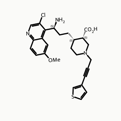 COc1ccc2ncc(Cl)c([C@@H](N)CC[C@H]3CCN(CC#Cc4ccsc4)C[C@H]3C(=O)O)c2c1